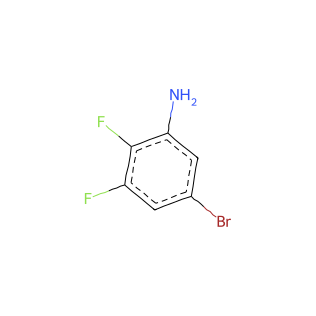 Nc1cc(Br)cc(F)c1F